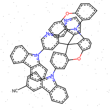 N#Cc1ccc2c(c1)c1ccccc1n2-c1ccc2c(c1)Oc1cccc(N3c4ccccc4Oc4ccccc43)c1C21c2cccnc2-c2ncc(-n3c4ccccc4c4ccccc43)cc21